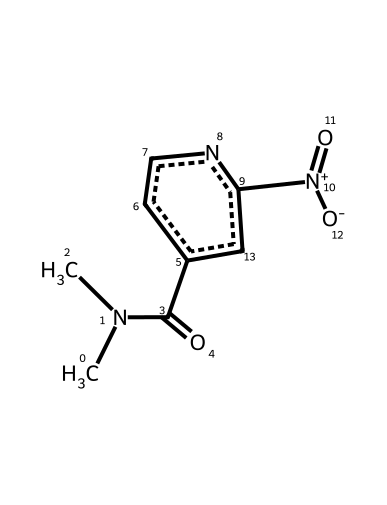 CN(C)C(=O)c1ccnc([N+](=O)[O-])c1